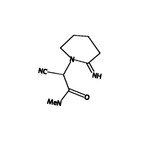 CNC(=O)C(C#N)N1CCCCC1=N